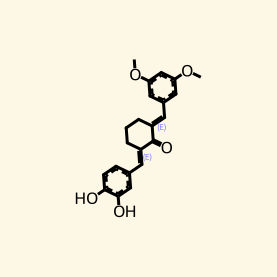 COc1cc(/C=C2\CCC/C(=C\c3ccc(O)c(O)c3)C2=O)cc(OC)c1